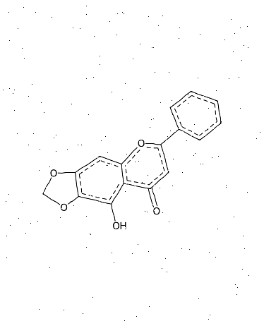 O=c1cc(-c2ccccc2)oc2cc3c(c(O)c12)OCO3